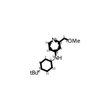 COCc1cc(N[C@H]2CC[C@@H](C(C)(C)C)CC2)ccn1